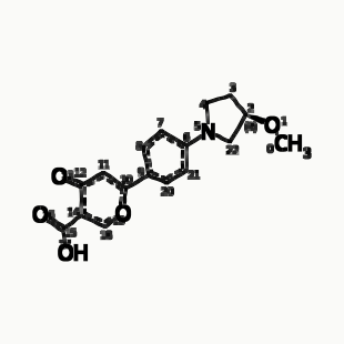 CO[C@@H]1CCN(c2ccc(-c3cc(=O)c(C(=O)O)co3)cc2)C1